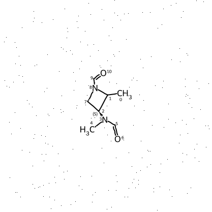 CC1[C@@H](N(C)C=O)CN1C=O